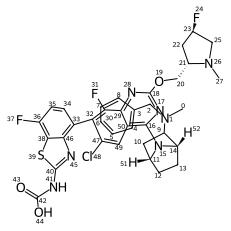 CN(Cc1ccccc1)C1C[C@H]2CC[C@@H]1N2c1nc(OC[C@@H]2C[C@@H](F)CN2C)nc2c(F)c(-c3ccc(F)c4sc(NC(=O)O)nc34)c(Cl)cc12